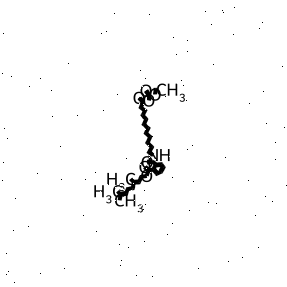 CCOC(=O)OC(=O)CCCCCCCCCCCNC(=O)c1ccccc1C(=O)OC/C=C(\C)CCC=C(C)C